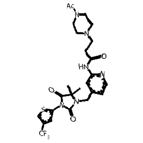 CC(=O)N1CCN(CCC(=O)Nc2cc(CN3C(=O)N(c4cc(C(F)(F)F)cs4)C(=O)C3(C)C)ccn2)CC1